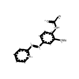 COc1cc(N=Nc2ccccn2)ccc1NC(=O)C(C)C